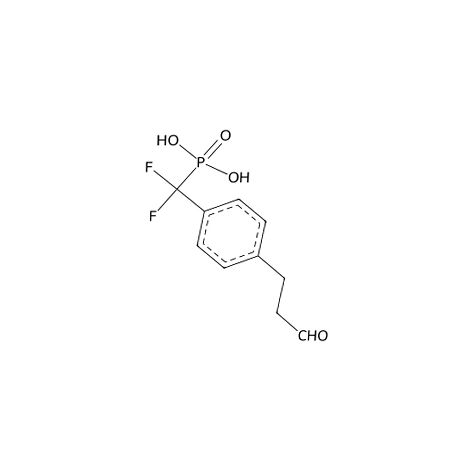 O=CCCc1ccc(C(F)(F)P(=O)(O)O)cc1